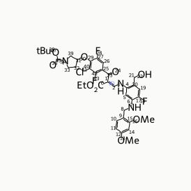 CCOC(=O)/C(=C/Nc1cc(NCc2ccc(OC)cc2OC)c(F)cc1CO)C(=O)c1cc(F)c(OC2CCN(C(=O)OC(C)(C)C)C2)c(Cl)c1F